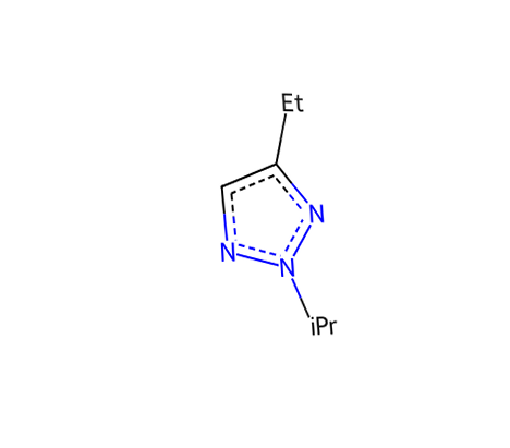 CCc1cnn(C(C)C)n1